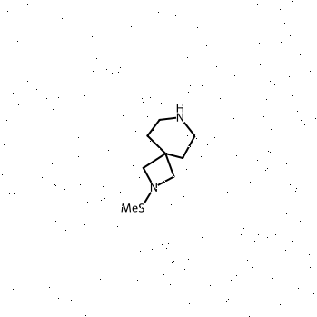 CSN1CC2(CCNCC2)C1